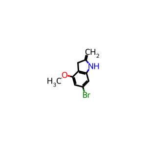 C=C1Cc2c(cc(Br)cc2OC)N1